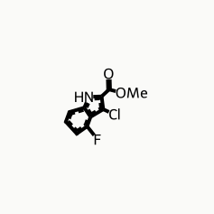 COC(=O)c1[nH]c2cccc(F)c2c1Cl